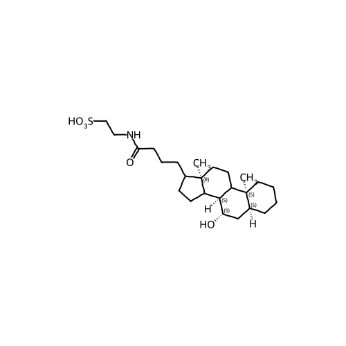 C[C@]12CCC3[C@H](C1CCC2CCCC(=O)NCCS(=O)(=O)O)[C@@H](O)C[C@@H]1CCCC[C@]31C